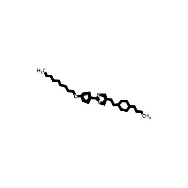 CCCCCCCCCOc1ccc(-c2ncc(CCC3CCC(CCCC)CC3)cn2)cc1